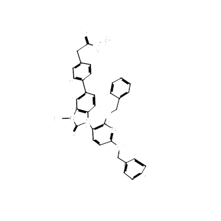 CCn1c(=O)n(-c2ccc(OCc3ccccc3)nc2OCc2ccccc2)c2ccc(-c3ccc(CC(=O)OC(C)(C)C)cc3)cc21